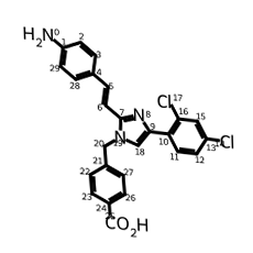 Nc1ccc(C=Cc2nc(-c3ccc(Cl)cc3Cl)cn2Cc2ccc(C(=O)O)cc2)cc1